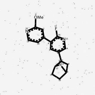 COc1cc(-c2cc(C3CC4CCC3N4)cnc2F)ccn1